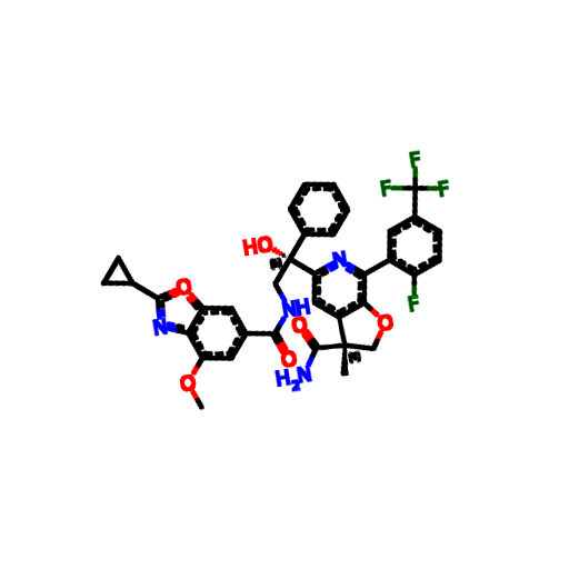 COc1cc(C(=O)NC[C@@](O)(c2ccccc2)c2cc3c(c(-c4cc(C(F)(F)F)ccc4F)n2)OC[C@]3(C)C(N)=O)cc2oc(C3CC3)nc12